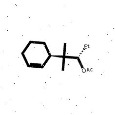 CC[C@H](OC(C)=O)C(C)(C)[C@H]1C=CCCC1